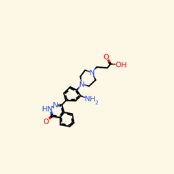 Nc1cc(-c2n[nH]c(=O)c3ccccc23)ccc1N1CCN(CCC(=O)O)CC1